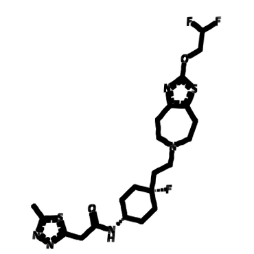 Cc1nnc(CC(=O)N[C@H]2CC[C@](F)(CCN3CCc4nc(OCC(F)F)sc4CC3)CC2)s1